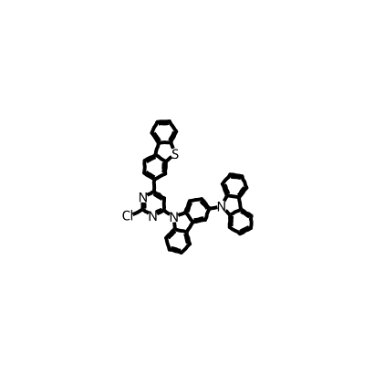 Clc1nc(-c2ccc3c(c2)sc2ccccc23)cc(-n2c3ccccc3c3cc(-n4c5ccccc5c5ccccc54)ccc32)n1